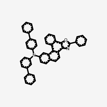 c1ccc(-c2ccc(N(c3cccc(-c4ccccc4)c3)c3ccc4ccc5c6nc(-c7ccccc7)oc6c6ccccc6c5c4c3)cc2)cc1